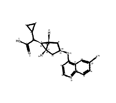 O=C(O)C(C1CC1)[C@H]1[C@@H]2C[C@@H](Oc3ccnc4ccc(F)cc34)C[C@@H]21